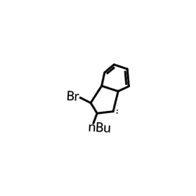 CCCCC1[C]C2C=CC=CC2C1Br